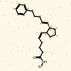 CCNC(=O)CCC/C=C\C1CCC[C@@H]1/C=C/CCCc1ccccc1